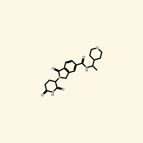 CC(NC(=O)c1ccc2c(c1)CN(C1CCC(=O)NC1=O)C2=O)C1CCOCC1